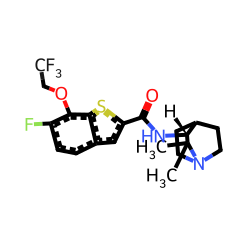 CC1(C)[C@H](NC(=O)c2cc3ccc(F)c(OCC(F)(F)F)c3s2)C2CCN1CC2